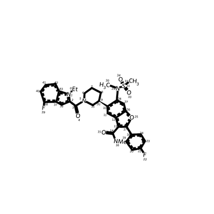 CCn1c(C(=O)N2CCC[C@@H](c3cc4c(C(=O)NC)c(-c5ccc(F)cc5)oc4cc3N(C)S(C)(=O)=O)C2)cc2c(F)cccc21